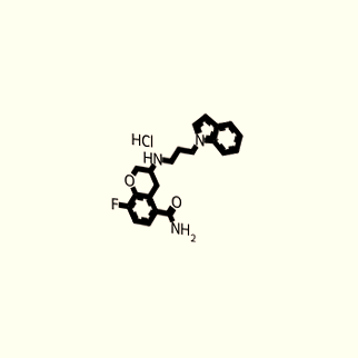 Cl.NC(=O)c1ccc(F)c2c1CC(NCCCn1ccc3ccccc31)CO2